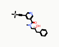 CN(C[C@@H](O)Cc1ccccc1)C(=O)c1cncc(C#C[Si](C)(C)C)c1